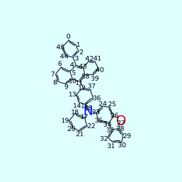 c1ccc(-c2c3ccccc3c(-c3ccc(N(c4ccccc4)c4ccc5oc6ccccc6c5c4)cc3)c3ccccc23)cc1